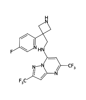 Fc1ccc(C2(CNc3cc(C(F)(F)F)nc4cc(C(F)(F)F)nn34)CNC2)nc1